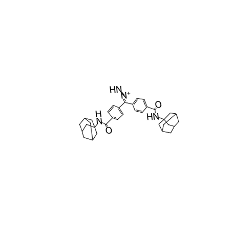 N=[N+]=C(c1ccc(C(=O)NC23CC4CC(CC(C4)C2)C3)cc1)c1ccc(C(=O)NC23CC4CC(CC(C4)C2)C3)cc1